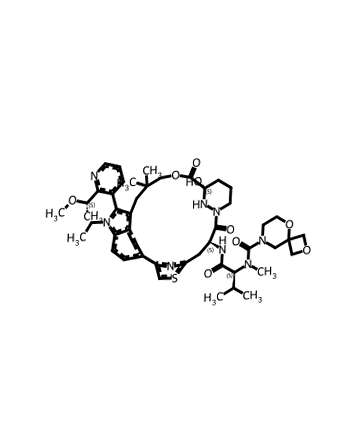 CCn1c(-c2cccnc2[C@H](C)OC)c2c3cc(ccc31)-c1csc(n1)C[C@H](NC(=O)[C@H](C(C)C)N(C)C(=O)N1CCOC3(COC3)C1)C(=O)N1CCC[C@@](O)(N1)C(=O)OCC(C)(C)C2